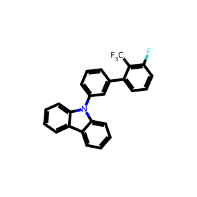 Fc1cccc(-c2cccc(-n3c4ccccc4c4ccccc43)c2)c1C(F)(F)F